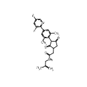 C=C(C)CNC(=O)CC1CC(=O)C(c2c(C)cc(-c3ncc(F)cc3F)cc2C)C1=O